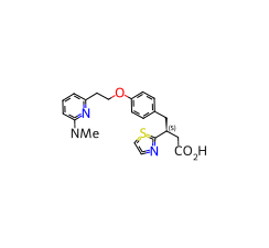 CNc1cccc(CCOc2ccc(C[C@@H](CC(=O)O)c3nccs3)cc2)n1